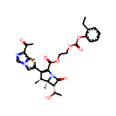 CCc1ccccc1OC(=O)OCCOC(=O)C1=C(c2cn3cnc(C(C)=O)c3s2)[C@H](C)[C@@H]2[C@@H](C(C)O)C(=O)N12